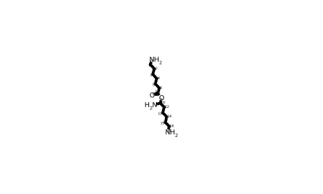 NCCCCCCC(=O)OC(N)CCCCCN